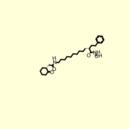 O=C(C[C@H]1CCCCC1=O)NCCCCCCCCCC[C@H](CCc1ccccc1)C(=O)NO